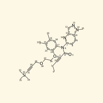 CCC#CC(=O)N(c1ccc2c(cnn2C)n1)c1cc(C)c(I)cc1OCCOCC#C[Si](C)(C)C